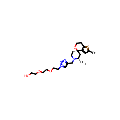 CCc1cc2c(s1)CCO[C@@]21CCN(Cc2cn(CCOCCOCCO)nn2)[C@@H](C)C1